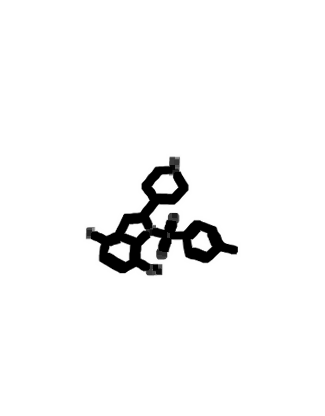 Cc1ccc(S(=O)(=O)n2c(C3=CCNCC3)cc3c(F)ccc(C#N)c32)cc1